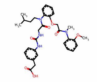 COc1ccccc1N(C)C(=O)COc1ccccc1N(CCC(C)C)C(=O)CNC(=O)Nc1cccc(CC(=O)O)c1